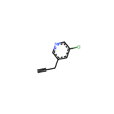 C#CCc1cncc(Cl)c1